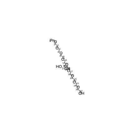 CC(C)OCCOCCOCCOCCOCCOCCOCCOCCOCCO.O=S(=O)(O)O